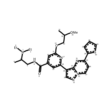 CCN(CC)C(C)CNC(=O)c1cc(OCC(C)OC)nc(-c2cnn3ccc(-c4cccs4)nc23)c1